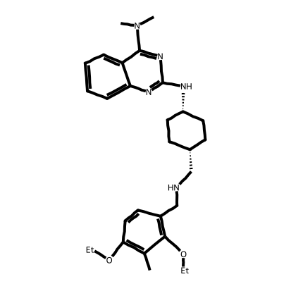 CCOc1ccc(CNC[C@H]2CC[C@@H](Nc3nc(N(C)C)c4ccccc4n3)CC2)c(OCC)c1C